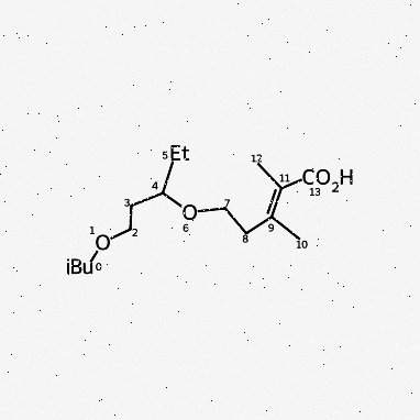 CCC(C)OCCC(CC)OCCC(C)=C(C)C(=O)O